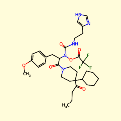 CCCC(=O)C1(C2CCCCC2)CCN(C(=O)C(Cc2ccc(OC)cc2)N(OC(=O)C(F)(F)F)C(=O)NCCc2c[nH]cn2)CC1